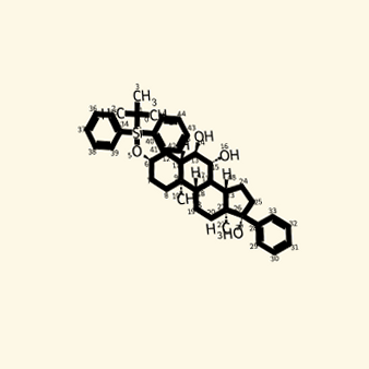 CC(C)(C)[Si](O[C@H]1CC[C@@]2(C)[C@H](C1)[C@@H](O)[C@H](O)C1[C@@H]2CC[C@@]2(C)[C@H]1CC[C@@]2(O)c1ccccc1)(c1ccccc1)c1ccccc1